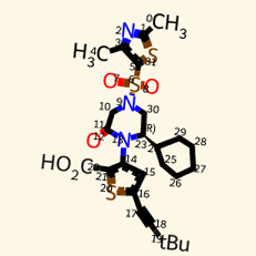 Cc1nc(C)c(S(=O)(=O)N2CC(=O)N(c3cc(C#CC(C)(C)C)sc3C(=O)O)[C@H](C3CCCCC3)C2)s1